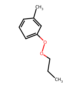 CCCOOc1cccc(C)c1